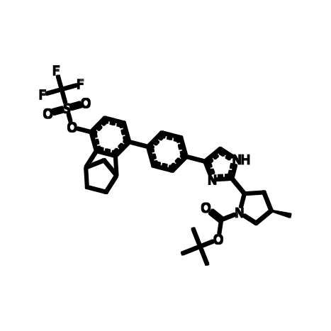 C[C@@H]1CC(c2nc(-c3ccc(-c4ccc(OS(=O)(=O)C(F)(F)F)c5c4C4CCC5C4)cc3)c[nH]2)N(C(=O)OC(C)(C)C)C1